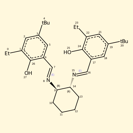 CCc1cc(C(C)(C)C)cc(/C=N/[C@@H]2CCCC[C@H]2/N=C/c2cc(C(C)(C)C)cc(CC)c2O)c1O